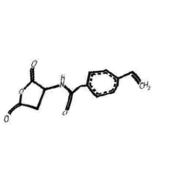 C=Cc1ccc(C(=O)NC2CC(=O)OC2=O)cc1